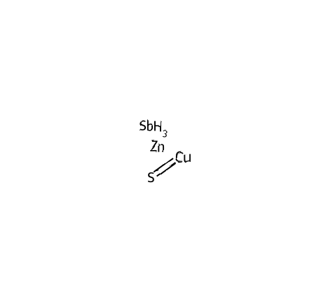 [S]=[Cu].[SbH3].[Zn]